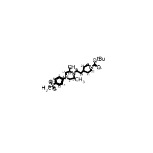 CC1CN(c2ccc(S(C)(=O)=O)cc2)CC(C)N1CCC1CCN(C(=O)OC(C)(C)C)CC1